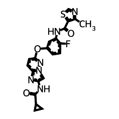 Cc1ncsc1C(=O)Nc1cc(Oc2ccc3nc(NC(=O)C4CC4)cn3n2)ccc1F